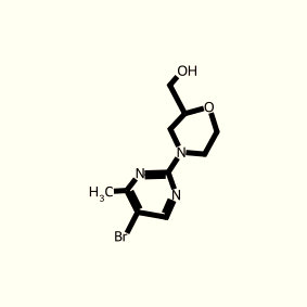 Cc1nc(N2CCOC(CO)C2)ncc1Br